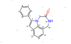 O=C1Cn2c(-c3ccccc3)cc3cccc(c32)CN1